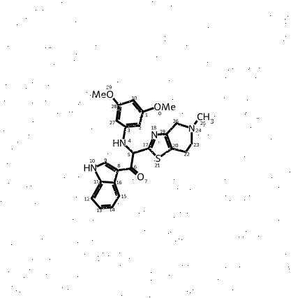 COc1cc(NC(C(=O)c2c[nH]c3ccccc23)c2nc3c(s2)CCN(C)C3)cc(OC)c1